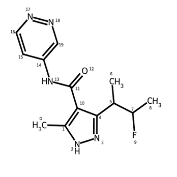 Cc1[nH]nc(C(C)C(C)F)c1C(=O)Nc1ccnnc1